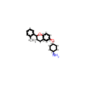 Cc1ccccc1C1CCc2cc(O[C@H]3CC[C@H](N)CC3)ccc2O1